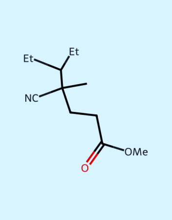 CCC(CC)C(C)(C#N)CCC(=O)OC